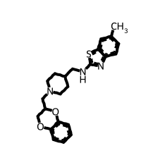 Cc1ccc2nc(NCC3CCN(CC4COc5ccccc5O4)CC3)sc2c1